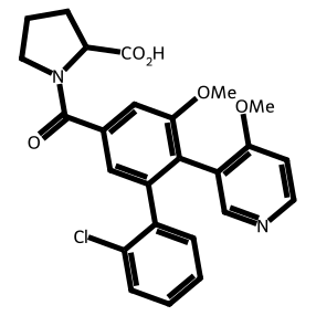 COc1ccncc1-c1c(OC)cc(C(=O)N2CCCC2C(=O)O)cc1-c1ccccc1Cl